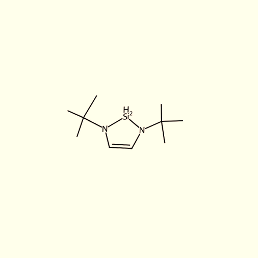 CC(C)(C)N1C=CN(C(C)(C)C)[SiH2]1